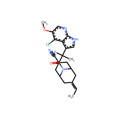 CC=C1CC2CC(C#N)CC(C1)N2C(=O)C(C)(C)c1c[nH]c2ncc(OC)c(Cl)c12